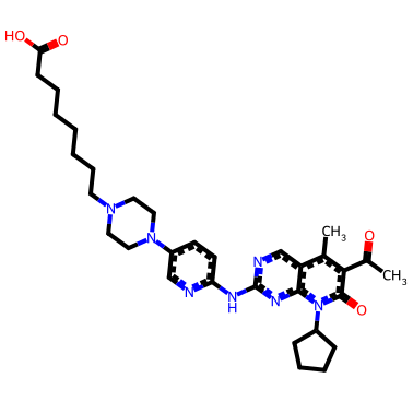 CC(=O)c1c(C)c2cnc(Nc3ccc(N4CCN(CCCCCCCC(=O)O)CC4)cn3)nc2n(C2CCCC2)c1=O